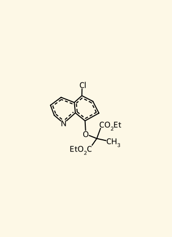 CCOC(=O)C(C)(Oc1ccc(Cl)c2cccnc12)C(=O)OCC